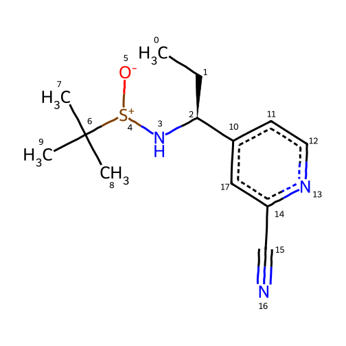 CC[C@H](N[S+]([O-])C(C)(C)C)c1ccnc(C#N)c1